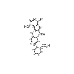 CCCCc1nc2c(F)nnc(O)c2n1Cc1ccc(-c2ccccc2C(=O)O)cc1